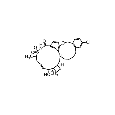 C[C@@H]1C/C=C/[C@@H](O)[C@@]2(C)CC[C@@H]2CN2CCCCc3cc(Cl)ccc3COc3ccc(cc32)C(=O)NS1(=O)=O